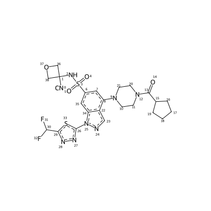 N#CC1(NS(=O)(=O)c2cc(N3CCN(C(=O)C4CCCC4)CC3)c3cnn(-c4nnc(C(F)F)s4)c3c2)COC1